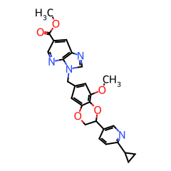 COC(=O)c1cnc2c(c1)ncn2Cc1cc(OC)c2c(c1)OCC(c1ccc(C3CC3)nc1)O2